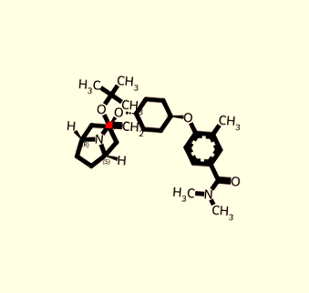 C=C(OC(C)(C)C)N1[C@@H]2CC[C@H]1C[C@H](O[C@H]1CC[C@H](Oc3ccc(C(=O)N(C)C)cc3C)CC1)C2